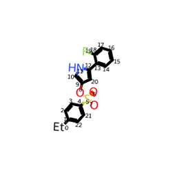 CCc1ccc(S(=O)(=O)Oc2c[nH]c(-c3ccccc3F)c2)cc1